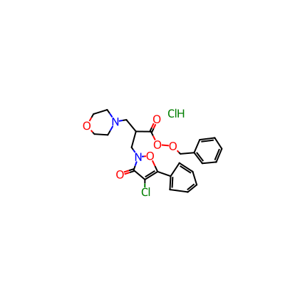 Cl.O=C(OOCc1ccccc1)C(CN1CCOCC1)Cn1oc(-c2ccccc2)c(Cl)c1=O